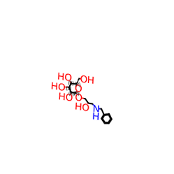 OC[C@H]1O[C@@H](OCC(O)CNCc2ccccc2)[C@H](O)[C@@H](O)[C@H]1O